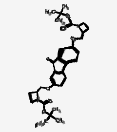 CC(C)(C)OC(=O)N1CCC1COc1ccc2c(c1)C(=O)c1cc(OCC3CCN3C(=O)OC(C)(C)C)ccc1-2